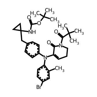 Cc1cc(Br)ccc1N(C1=CCCN(C(=O)C(C)(C)C)C1=O)c1ccc(CC2(NC(=O)OC(C)(C)C)CC2)cc1